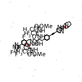 COC(=O)N[C@H](C(=O)N[C@@H](Cc1ccc(C#Cc2cnc(N3CC4CCC(C3)N4C3COC3)nc2)cc1)[C@@H](O)CN(Cc1c(F)cc(-c2cn(C(F)F)nn2)cc1F)NC(=O)[C@@H](NC(=O)OC)C(C)(C)C(F)(F)F)C(C)(C)C(F)(F)F